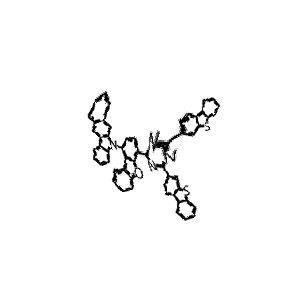 c1ccc2cc3c(cc2c1)c1ccccc1n3-c1ccc(-c2nc(-c3ccc4c(c3)sc3ccccc34)nc(-c3ccc4c(c3)sc3ccccc34)n2)c2oc3ccccc3c12